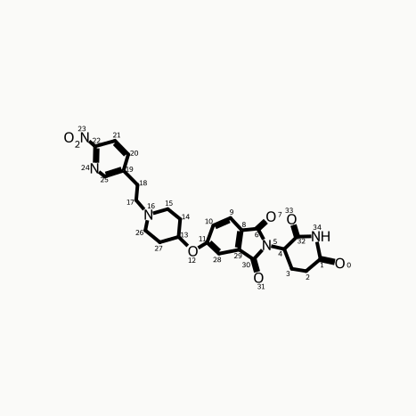 O=C1CCC(N2C(=O)c3ccc(OC4CCN(CCc5ccc([N+](=O)[O-])nc5)CC4)cc3C2=O)C(=O)N1